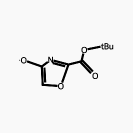 CC(C)(C)OC(=O)c1nc([O])co1